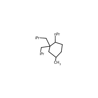 CCCC1CCC(C)CC1(CC(C)C)CC(C)C